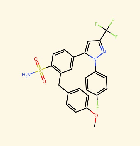 COc1ccc(Cc2cc(-c3cc(C(F)(F)F)nn3-c3ccc(F)cc3)ccc2S(N)(=O)=O)cc1